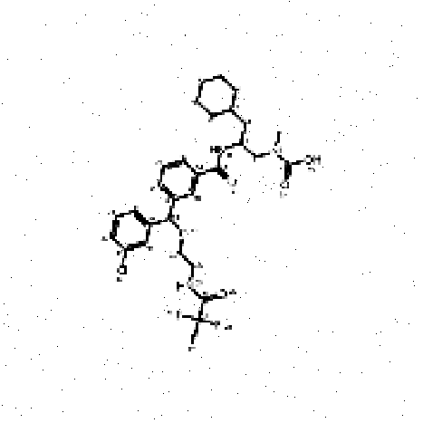 CN(CC(CC1CCCCC1)NC(=O)c1cccc(C(OCCNC(=O)C(F)(F)F)c2cccc(Cl)c2)c1)C(=O)O